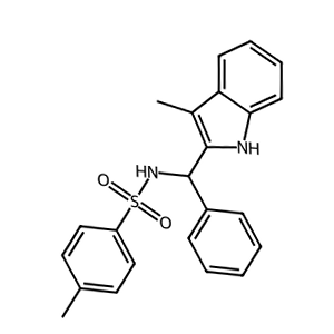 Cc1ccc(S(=O)(=O)NC(c2ccccc2)c2[nH]c3ccccc3c2C)cc1